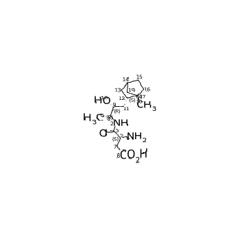 C[C@@H](NC(=O)[C@@H](N)CC(=O)O)[C@H](O)C[C@@H]1CC2CC[C@@]1(C)C2